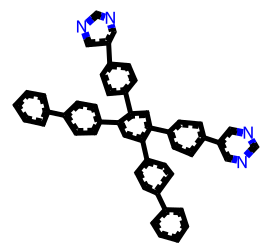 c1ccc(-c2ccc(-c3cc(-c4ccc(-c5ccccc5)cc4)c(-c4ccc(-c5cncnc5)cc4)cc3-c3ccc(-c4cncnc4)cc3)cc2)cc1